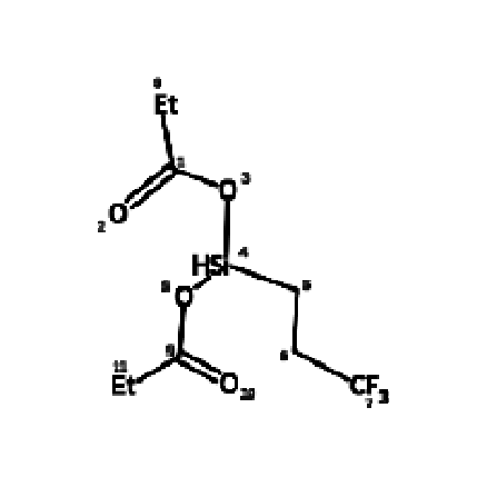 CCC(=O)O[SiH](CCC(F)(F)F)OC(=O)CC